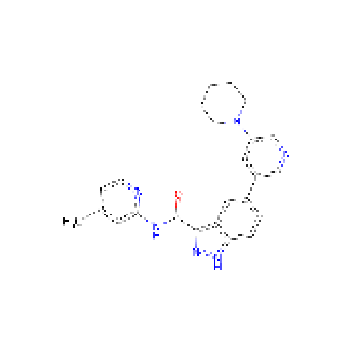 Cc1ccnc(NC(=O)c2n[nH]c3ccc(-c4cncc(N5CCCCC5)c4)cc23)c1